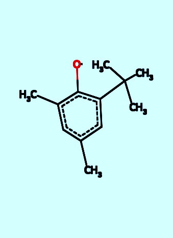 Cc1cc(C)c([O])c(C(C)(C)C)c1